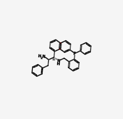 NC(Cc1ccccc1)[C@@H](NCc1ccccc1P(c1ccccc1)c1ccccc1)c1ccccc1